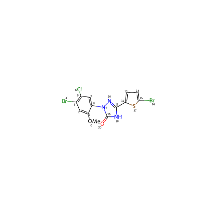 COc1cc(Br)c(Cl)cc1-n1nc(-c2ccc(Br)s2)[nH]c1=O